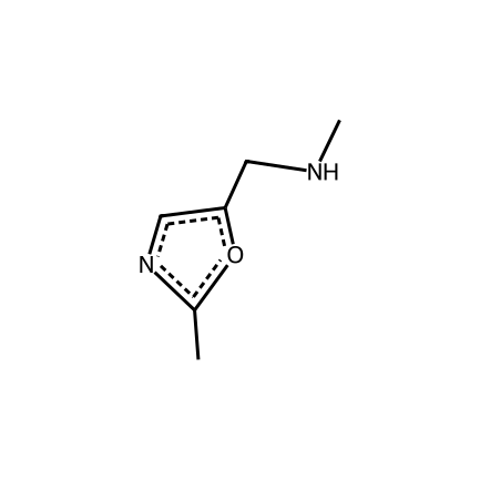 CNCc1cnc(C)o1